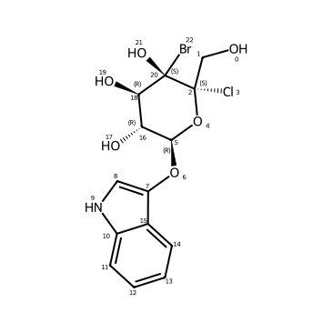 OC[C@@]1(Cl)O[C@@H](Oc2c[nH]c3ccccc23)[C@H](O)[C@@H](O)[C@]1(O)Br